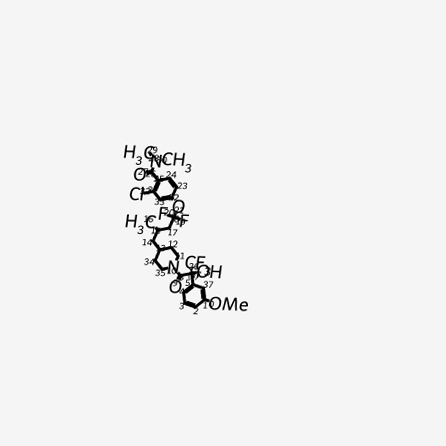 COc1cccc([C@@](O)(C(=O)N2CCC(CC(C)CC(F)(F)Oc3ccc(C(=O)N(C)C)c(Cl)c3)CC2)C(F)(F)F)c1